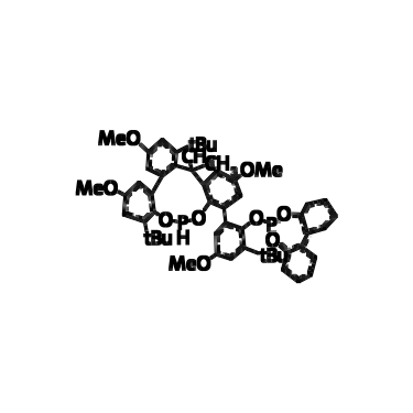 COc1cc(-c2cc(OC)cc3c2OPOc2c(cc(OC)cc2C(C)(C)C)-c2cc(OC)cc(C(C)(C)C)c2C3(C)C)c(Op2oc3ccccc3c3ccccc3o2)c(C(C)(C)C)c1